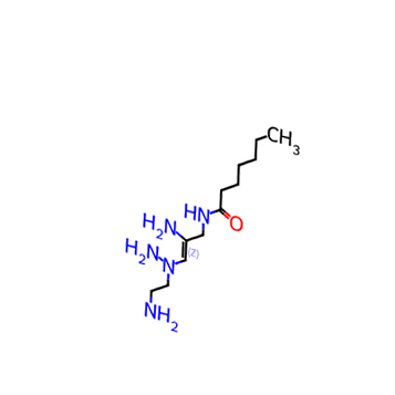 CCCCCCC(=O)NC/C(N)=C/N(N)CCN